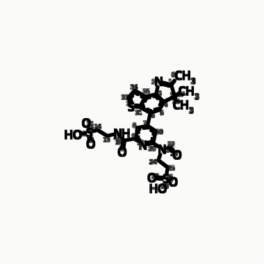 CC1=Nc2c(cc(-c3cc(C(=O)NCCS(=O)(=O)O)nc(N(C=O)CCS(=O)(=O)O)c3)c3sccc23)C1(C)C